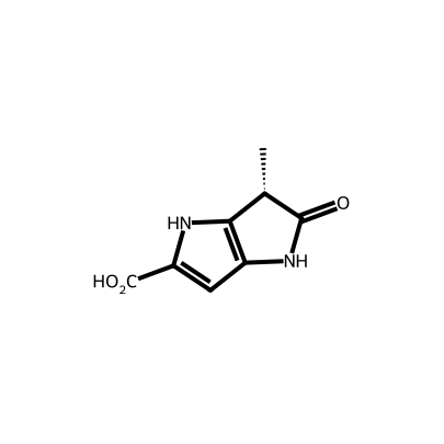 C[C@@H]1C(=O)Nc2cc(C(=O)O)[nH]c21